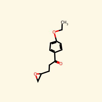 CCOc1ccc(C(=O)CCC2CO2)cc1